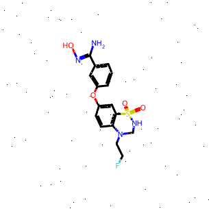 NC(=NO)c1cccc(Oc2ccc3c(c2)S(=O)(=O)NCN3CCF)c1